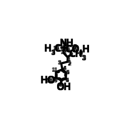 CC(CCc1ccc(O)c(O)c1)CC(C)(N)C(=O)O